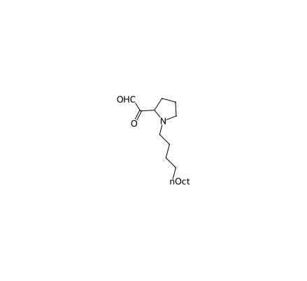 CCCCCCCCCCCCN1CCCC1C(=O)C=O